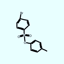 Cc1ccc(OS(=O)(=O)c2ccc(Br)cc2)cc1